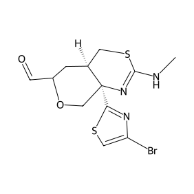 CNC1=N[C@@]2(c3nc(Br)cs3)COC(C=O)C[C@H]2CS1